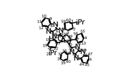 CC(C)c1ccc(N2c3nc4ccccc4nc3N3c4ccc(C(C)C)cc4C4(C)CC4(CCC45CC4C4N(c6ccccc6)c6nc7ccccc7nc6N4c4ccccc45)C23)cc1